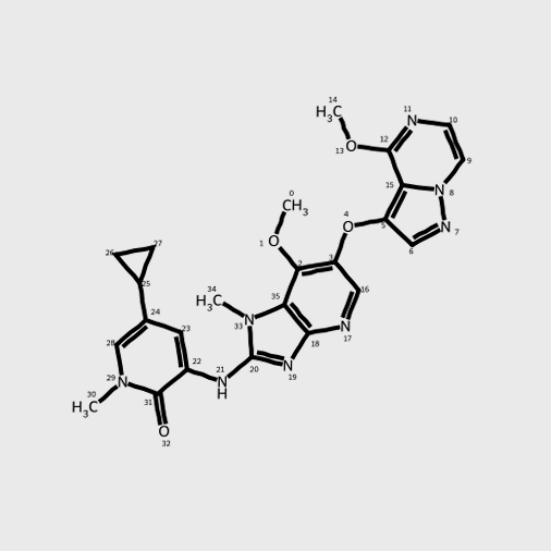 COc1c(Oc2cnn3ccnc(OC)c23)cnc2nc(Nc3cc(C4CC4)cn(C)c3=O)n(C)c12